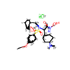 COc1ccc(S(=O)(=O)N(Cc2ccccc2)C(C(=O)NO)C2CCC(N(C)C)CC2)cc1.Cl